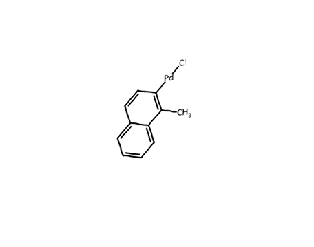 Cc1[c]([Pd][Cl])ccc2ccccc12